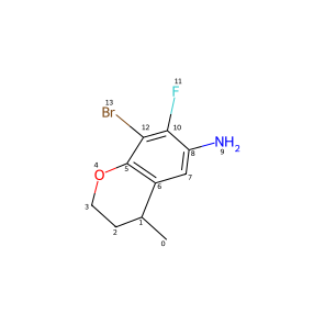 CC1CCOc2c1cc(N)c(F)c2Br